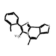 Cc1ccccc1-c1nc2c3cscc3cc(C)n2c1N